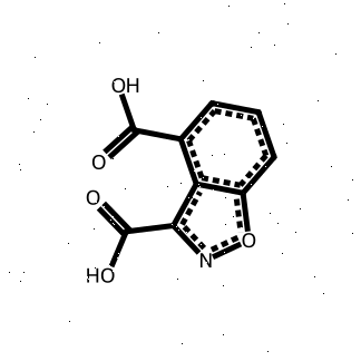 O=C(O)c1cccc2onc(C(=O)O)c12